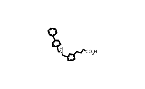 O=C(O)CCCc1cccc(CNCc2ccc(-c3ccccc3)cc2)c1